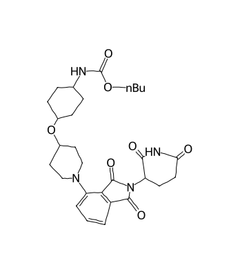 CCCCOC(=O)NC1CCC(OC2CCN(c3cccc4c3C(=O)N(C3CCC(=O)NC3=O)C4=O)CC2)CC1